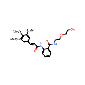 COc1cc(/C=C/C(=O)Nc2ccccc2C(=O)NCCOCCO)cc(OC)c1OC